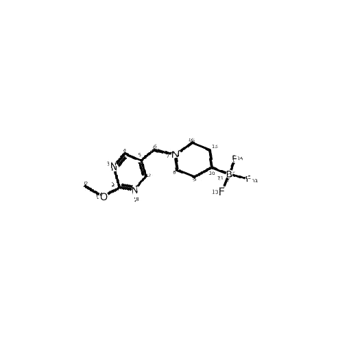 COc1ncc(CN2CCC([B-](F)(F)F)CC2)cn1